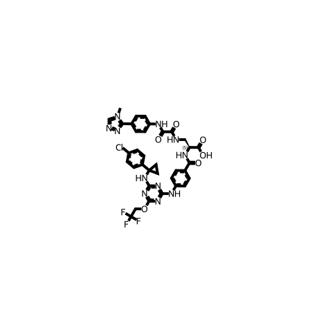 Cn1cnnc1-c1ccc(NC(=O)C(=O)NC[C@H](NC(=O)c2ccc(Nc3nc(NC4(c5ccc(Cl)cc5)CC4)nc(OCC(F)(F)F)n3)cc2)C(=O)O)cc1